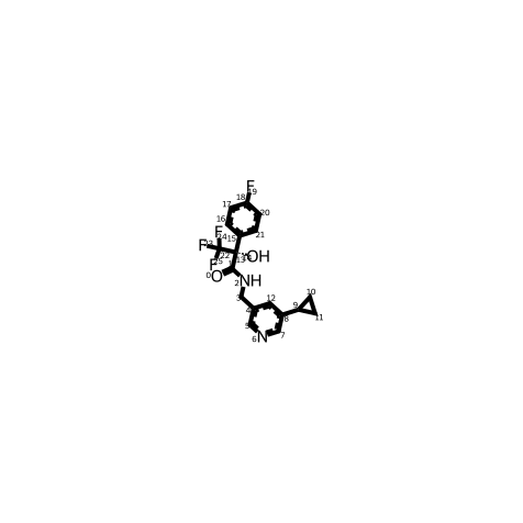 O=C(NCc1cncc(C2CC2)c1)[C@](O)(c1ccc(F)cc1)C(F)(F)F